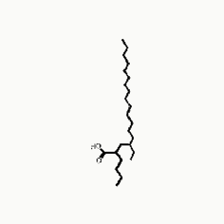 CCCCCCCCCCCCCCC(CC)CC(CCCC)C(=O)O